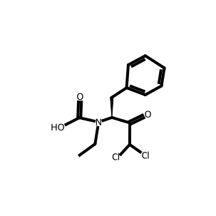 CCN(C(=O)O)[C@@H](Cc1ccccc1)C(=O)C(Cl)Cl